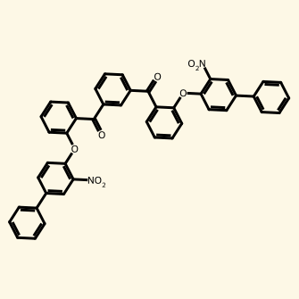 O=C(c1cccc(C(=O)c2ccccc2Oc2ccc(-c3ccccc3)cc2[N+](=O)[O-])c1)c1ccccc1Oc1ccc(-c2ccccc2)cc1[N+](=O)[O-]